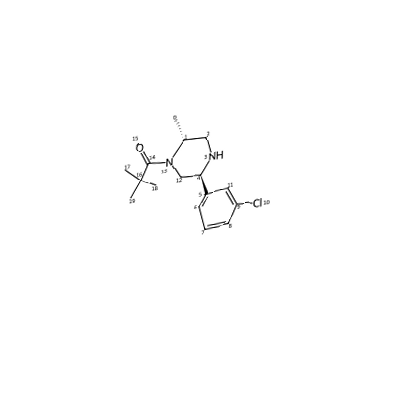 C[C@@H]1CN[C@@H](c2cccc(Cl)c2)CN1C(=O)C(C)(C)C